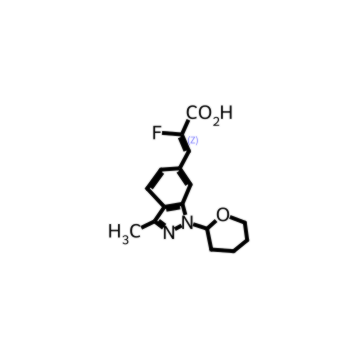 Cc1nn(C2CCCCO2)c2cc(/C=C(\F)C(=O)O)ccc12